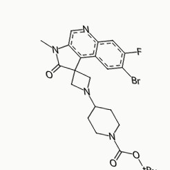 CN1C(=O)C2(CN(C3CCN(C(=O)OC(C)(C)C)CC3)C2)c2c1cnc1cc(F)c(Br)cc21